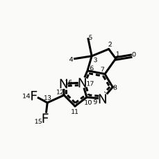 C=C1CC(C)(C)c2c1cnc1cc(C(F)F)nn21